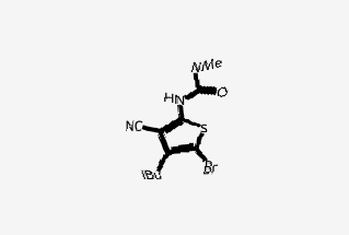 CCC(C)c1c(Br)sc(NC(=O)NC)c1C#N